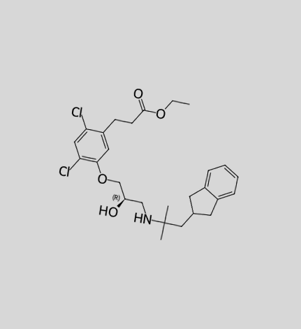 CCOC(=O)CCc1cc(OC[C@H](O)CNC(C)(C)CC2Cc3ccccc3C2)c(Cl)cc1Cl